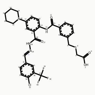 O=C(O)CSCc1cccc(C(=O)Nc2ccc(N3CCCCC3)cc2C(=O)N/N=C/c2ccc(Cl)c(C(F)(F)F)c2)c1